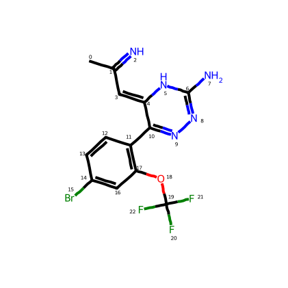 CC(=N)/C=C1\NC(N)=NN=C1c1ccc(Br)cc1OC(F)(F)F